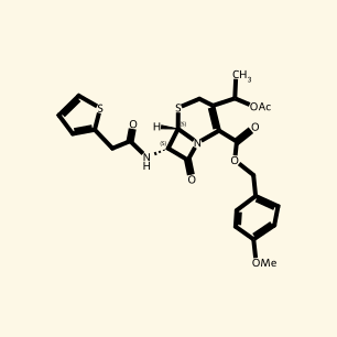 COc1ccc(COC(=O)C2=C(C(C)OC(C)=O)CS[C@H]3[C@@H](NC(=O)Cc4cccs4)C(=O)N23)cc1